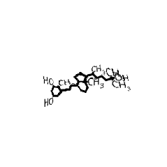 C=C1/C(=C\C=C2/CCCC3(C)C2CCC3C(C)CCCC(C)(C)O)C[C@@H](O)CC1O